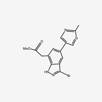 COC(=O)Cc1cc(-c2cnc(C)nc2)cc2c(Br)n[nH]c12